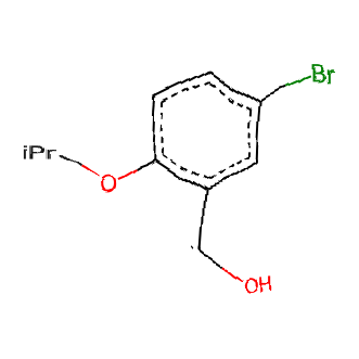 CC(C)Oc1ccc(Br)cc1[CH]O